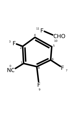 N#Cc1c(F)ccc(F)c1F.O=CF